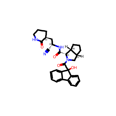 N#C[C@H](C[C@@H]1CCCNC1=O)NC(=O)[C@@H]1[C@@H]2CCC[C@@H]2CN1C(=O)C1(O)c2ccccc2-c2ccccc21